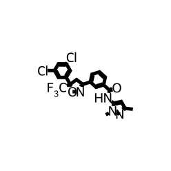 Cc1cc(NC(=O)c2cccc(C3=NOC(c4cc(Cl)cc(Cl)c4)(C(F)(F)F)C3)c2)n(C)n1